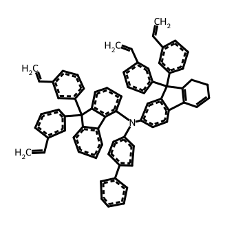 C=Cc1cccc(C2(c3cccc(C=C)c3)C3=C(C=CCC3)c3ccc(N(c4ccc(-c5ccccc5)cc4)c4cccc5c4-c4ccccc4C5(c4cccc(C=C)c4)c4cccc(C=C)c4)cc32)c1